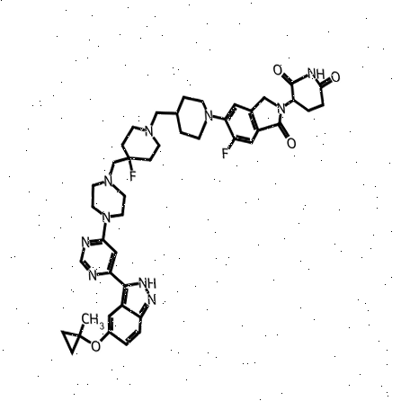 CC1(Oc2ccc3n[nH]c(-c4cc(N5CCN(CC6(F)CCN(CC7CCN(c8cc9c(cc8F)C(=O)N(C8CCC(=O)NC8=O)C9)CC7)CC6)CC5)ncn4)c3c2)CC1